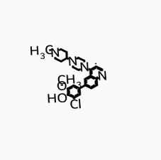 COc1cc(-c2ccc3nc[c]c(N4CCN(C5CCN(C)CC5)CC4)c3c2)cc(Cl)c1O